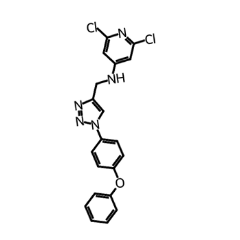 Clc1cc(NCc2cn(-c3ccc(Oc4ccccc4)cc3)nn2)cc(Cl)n1